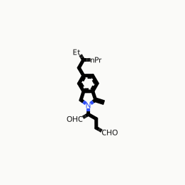 C=C1c2ccc(CC(CC)CCC)cc2CN1C(C=O)CCC=O